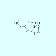 CC(=O)O.OCCCc1cccs1